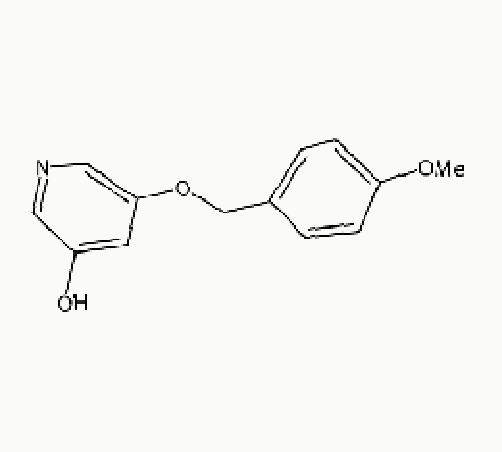 COc1ccc(COc2cncc(O)c2)cc1